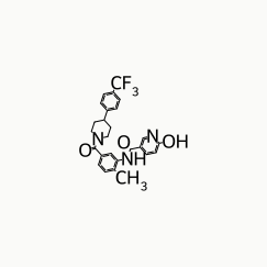 Cc1ccc(C(=O)N2CCC(c3ccc(C(F)(F)F)cc3)CC2)cc1NC(=O)c1ccc(O)nc1